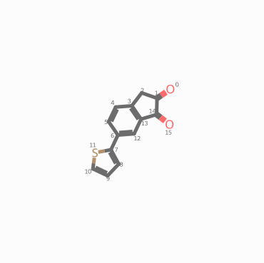 O=C1Cc2ccc(-c3cccs3)cc2C1=O